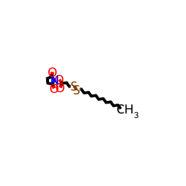 CCCCCCCCCCCCSSCCC(=O)ON1C(=O)CCC1=O